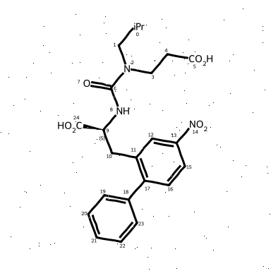 CC(C)CN(CCC(=O)O)C(=O)N[C@@H](Cc1cc([N+](=O)[O-])ccc1-c1ccccc1)C(=O)O